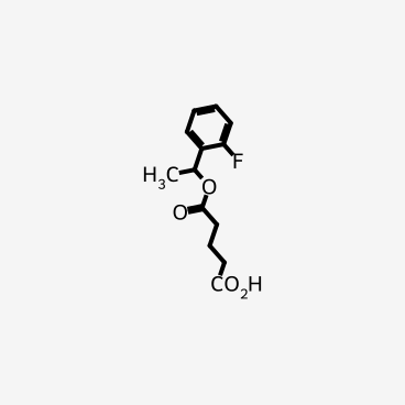 CC(OC(=O)CCCC(=O)O)c1ccccc1F